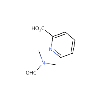 CN(C)C=O.O=C(O)c1ccccn1